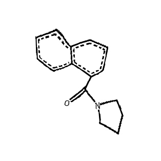 O=C(c1cccc2ccccc12)N1CCCC1